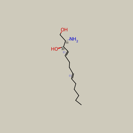 CCCCC/C=C/CC/C=C/[C@@H](O)[C@@H](N)CO